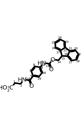 O=C(O)CCNC(=O)c1ccc(NC(=O)OCC2c3ccccc3-c3ccccc32)cc1